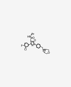 CC(C)NC(=O)Cn1c(-c2ccc(F)c(Cl)c2)nn(-c2ccc(CCN3C4CCC3COC4)cc2)c1=O